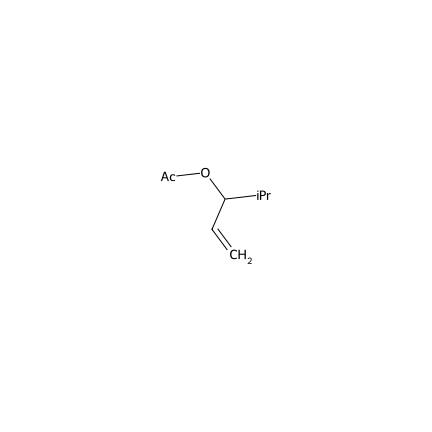 C=CC(OC(C)=O)C(C)C